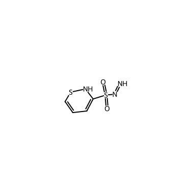 N=NS(=O)(=O)C1=CC=CSN1